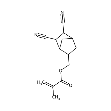 C=C(C)C(=O)OCC1CC2CC1C(C#N)C2C#N